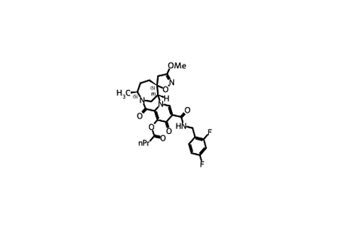 CCCC(=O)Oc1c2n(cc(C(=O)NCc3ccc(F)cc3F)c1=O)[C@@H]1CN(C2=O)[C@@H](C)CC[C@]12CC(OC)=NO2